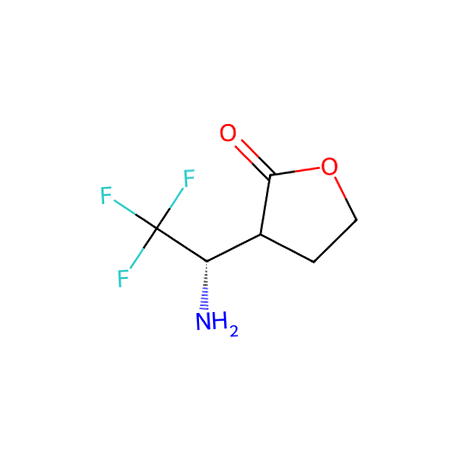 N[C@@H](C1CCOC1=O)C(F)(F)F